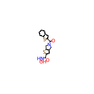 O=C(NO)c1cc2c(s1)CN(C(=O)c1cc3ccccc3s1)C2